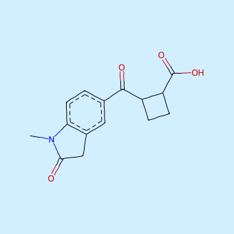 CN1C(=O)Cc2cc(C(=O)C3CCC3C(=O)O)ccc21